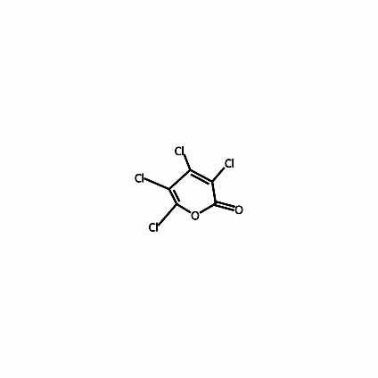 O=c1oc(Cl)c(Cl)c(Cl)c1Cl